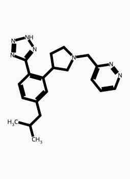 CC(C)Cc1ccc(-c2nn[nH]n2)c(C2CCN(Cc3cccnn3)C2)c1